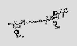 CNc1ccc(C(=O)N[C@@H](CCC(=O)NCCOCCOCCOCCNC(=O)Cn2nc3c(c2-c2ccc(O)cc2)C(=O)c2c(NC(=O)NN4CCOCC4)cccc2-3)C(=O)OC(C)(C)C)cc1